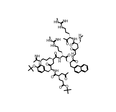 CNC[C@H](CC(=O)CNC(=O)[C@@H](CC(=O)[C@@H](CCCNC(=N)NC)NC(=O)[C@H](CCCNC(C)=N)CC(=O)[C@H](Cc1ccc(OC(C)(C)C)cc1)NC(=O)[C@H](CCC(=O)OC(C)(C)C)CC(C)=O)Cc1ccc2ccccc2c1)C(=O)N[C@@H](CCCNC(=N)NC)C(C)=O